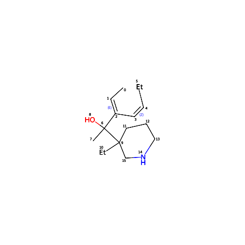 C/C=C(\C=C/CC)C(C)(O)C1(CC)CCCNC1